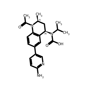 CC(=O)N1c2ccc(-c3ccc(N)nc3)cc2[C@H](N(C(=O)O)C(C)C)C[C@@H]1C